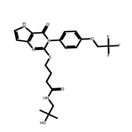 CC(C)(O)CNC(=O)CCCSc1nc2cc[nH]c2c(=O)n1-c1ccc(OCC(F)(F)F)cc1